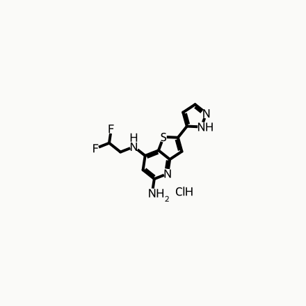 Cl.Nc1cc(NCC(F)F)c2sc(-c3ccn[nH]3)cc2n1